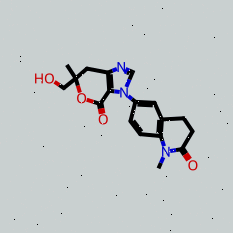 CN1C(=O)CCc2cc(-n3cnc4c3C(=O)OC(C)(CO)C4)ccc21